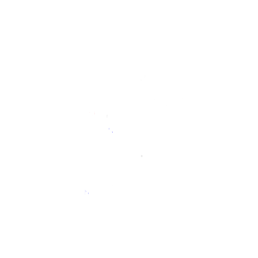 Nc1cc(CNC(=O)OCc2ccccc2)ccc1F.O=C(Cl)OCc1ccccc1